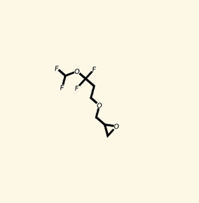 FC(F)OC(F)(F)CCOCC1CO1